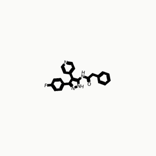 O=C(Cc1ccccc1)Nc1[nH]nc(-c2ccc(F)cc2)c1-c1ccncc1